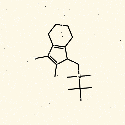 CC1=[C]([Ti])C2=C(CCCC2)C1C[Si](C)(C)C(C)(C)C